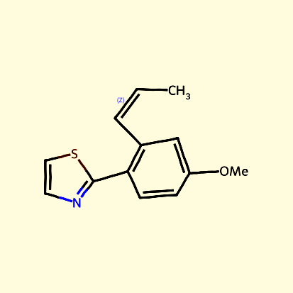 C/C=C\c1cc(OC)ccc1-c1nccs1